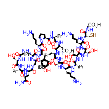 CC[C@H](C)[C@H](NC(=O)[C@H](CCC(N)=O)NC(=O)[C@@H](NC(=O)[C@H](CO)NC(=O)CN)C(C)C)C(=O)N[C@H](C(=O)N[C@@H](Cc1ccc(O)cc1)C(=O)N[C@@H](CCCCN)C(=O)N1CCC[C@H]1C(=O)N[C@H](C(=O)N[C@@H](CC(=O)O)C(=O)N[C@@H](CC(C)C)C(=O)N[C@@H](CO)C(=O)N[C@@H](CCCCN)C(=O)N[C@H](C(=O)N[C@H](C(=O)N[C@@H](CO)C(=O)N[C@@H](CCCCN)C(=O)N[C@@H](CS)C(=O)NCC(=O)O)[C@@H](C)O)C(C)C)C(C)C)C(C)C